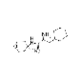 N#CC1(NC(=O)C(N)CC2CCCCC2)CCOCC1